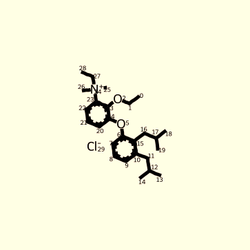 CCOc1c(Oc2cccc(CC(C)C)c2CC(C)C)cccc1[N+](C)(C)CC.[Cl-]